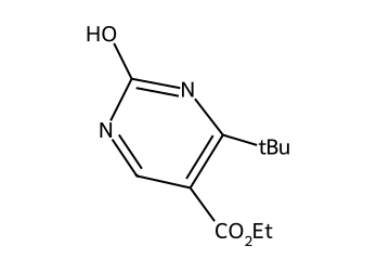 CCOC(=O)c1cnc(O)nc1C(C)(C)C